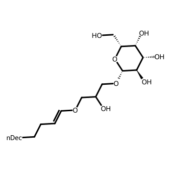 CCCCCCCCCCCCC=COCC(O)CO[C@@H]1O[C@H](CO)[C@H](O)[C@H](O)[C@H]1O